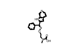 CN(CCON=C(c1ccccc1)c1cc2ccncc2[nH]1)C(=O)O